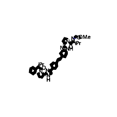 COO/C=N\[C@H](C(=O)N1CCC[C@H]1c1nc2cc(C#Cc3ccc(-c4c[nH]c([C@@H]5CCCN5C(=O)[C@@H](c5ccccc5)C(C)C)n4)cc3)ccc2[nH]1)C(C)C